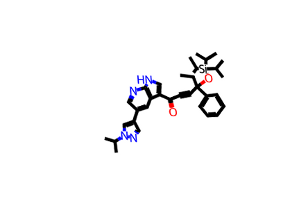 CCC(C#CC(=O)c1c[nH]c2ncc(-c3cnn(C(C)C)c3)cc12)(O[Si](C(C)C)(C(C)C)C(C)C)c1ccccc1